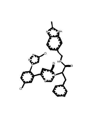 Cc1nc2ccc(CNC(=O)C(Cc3ccccc3)n3cnc(-c4cc(Cl)ccc4-n4cc(Cl)nn4)cc3=O)cc2[nH]1